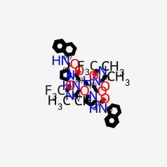 C[C@@H](C(=O)N[C@@H](CC[C@H](NC(=O)[C@H](C)N(C)C(=O)C(F)(F)F)C(=O)N1CCC[C@H]1C(=O)N[C@@H]1CCCc2ccccc21)C(=O)N1CCC[C@H]1C(=O)N[C@@H]1CCCc2ccccc21)N(C)C(=O)C(F)(F)F